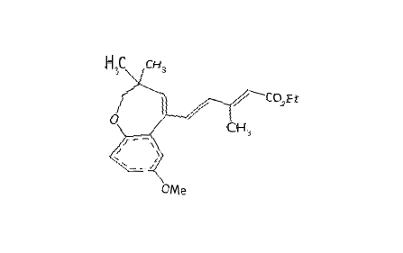 CCOC(=O)/C=C(C)/C=C/C1=CC(C)(C)COc2ccc(OC)cc21